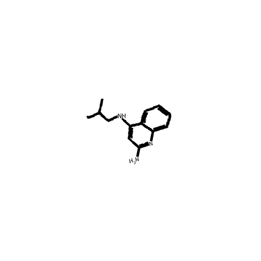 CC(C)CNc1cc(N)nc2ccccc12